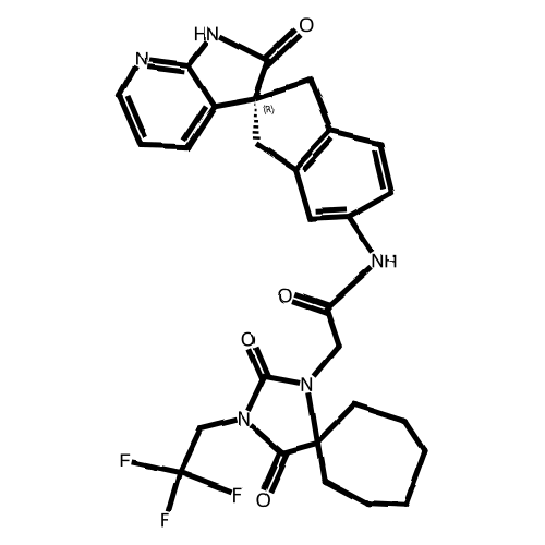 O=C(CN1C(=O)N(CC(F)(F)F)C(=O)C12CCCCCC2)Nc1ccc2c(c1)C[C@@]1(C2)C(=O)Nc2ncccc21